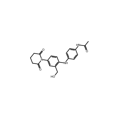 CC(=O)Nc1ccc(Nc2ccc(N3C(=O)CCCC3=O)cc2CO)cc1